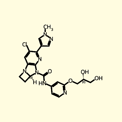 Cn1cc(-c2nc3c(cc2Cl)N2CC[C@@H]2N3C(=O)Nc2ccnc(OC[C@H](O)CO)c2)cn1